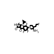 NC1CN(c2c(F)c(F)c3c(=O)c4c(=O)[nH]sc4n(C4CC4)c3c2F)CCC1CCF